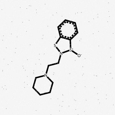 [O-][S+]1c2ccccc2SN1CCN1CCCCC1